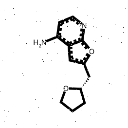 Nc1ccnc2oc(C[C@@H]3CCCO3)cc12